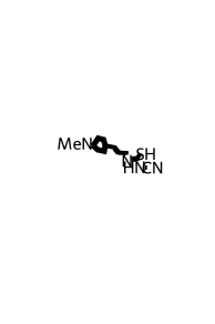 CNc1ccc(C=CCN=C(S)NC#N)cc1